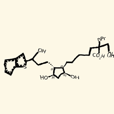 CCCC(CO)(CCCCC[C@@H]1[C@@H](CCC(O)c2cc3ccccc3s2)[C@H](O)C[C@@H]1O)C(=O)O